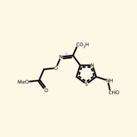 COC(=O)CO/N=C(/C(=O)O)c1csc(NC=O)n1